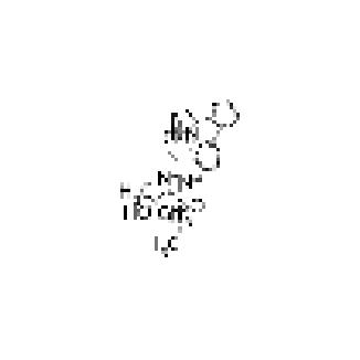 CCCc1nc(C(C)(C)O)c(C(=O)OCC)n1Cc1ccc(-c2ccccc2C2=NN=NC2)cc1